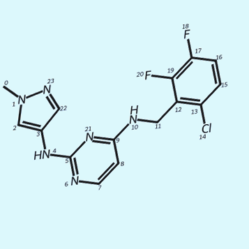 Cn1cc(Nc2nccc(NCc3c(Cl)ccc(F)c3F)n2)cn1